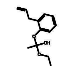 C=CCc1ccccc1OC(C)(O)OCC